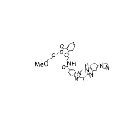 COCCOCCOC(=O)c1ccccc1OCCNC(=O)c1ccc2nc(C(C)c3nc4cc(-n5ccnc5)ccc4[nH]3)n(C)c2c1